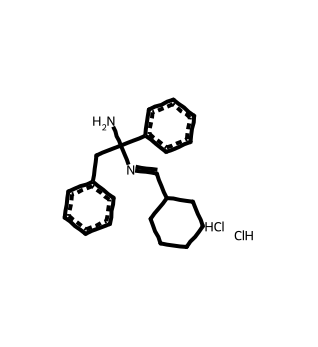 Cl.Cl.NC(Cc1ccccc1)(N=CC1CCCCC1)c1ccccc1